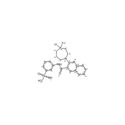 CS(=N)(=O)c1cccc(NC(=O)c2cc3cnccc3nc2N2CCCC(F)(F)CC2)c1